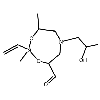 C=C[Si]1(C)OC(C)CN(CC(C)O)CC(C=O)O1